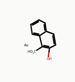 O=C(O)c1c(O)ccc2ccccc12.[Au]